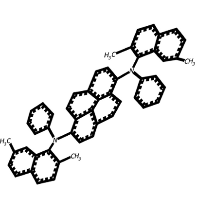 Cc1ccc2ccc(C)c(N(c3ccccc3)c3ccc4ccc5c(N(c6ccccc6)c6c(C)ccc7ccc(C)cc67)ccc6ccc3c4c65)c2c1